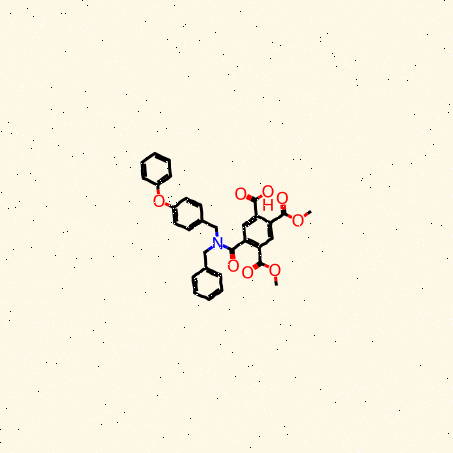 COC(=O)c1cc(C(=O)OC)c(C(=O)N(Cc2ccccc2)Cc2ccc(Oc3ccccc3)cc2)cc1C(=O)O